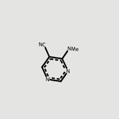 CNc1ncncc1C#N